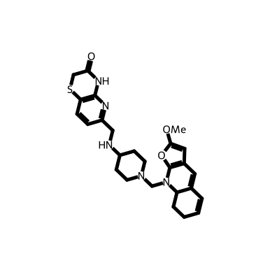 COc1cc2c(o1)N(CN1CCC(NCc3ccc4c(n3)NC(=O)CS4)CC1)C1CCC=CC1=C2